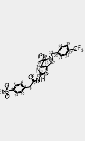 CCS(=O)(=O)c1ccc(CC(=O)Nc2nc3c(s2)CN(Cc2ccc(C(F)(F)F)cc2)[C@@]3(C)C(C)C)cc1